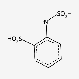 O=S(=O)(O)[N]c1ccccc1S(=O)(=O)O